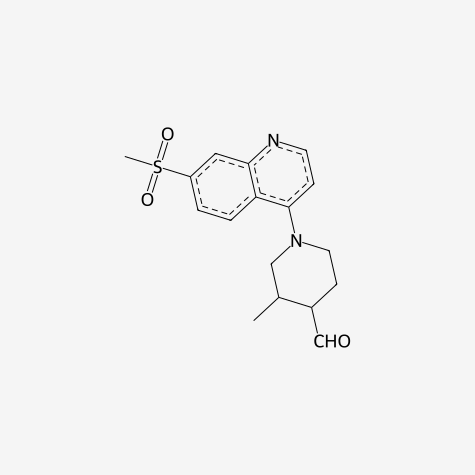 CC1CN(c2ccnc3cc(S(C)(=O)=O)ccc23)CCC1C=O